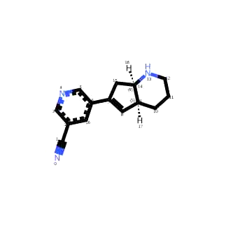 N#Cc1cncc(C2=C[C@@H]3CCCN[C@@H]3C2)c1